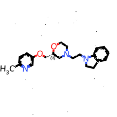 Cc1ccc(OC[C@H]2CN(CCN3CCc4ccccc43)CCO2)cn1